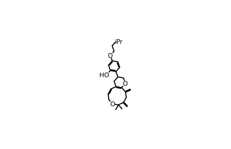 C=C1CC(=C)C(C)(C)OC/C=C\C2=C1OCC(c1ccc(OCCC(C)C)cc1O)C2